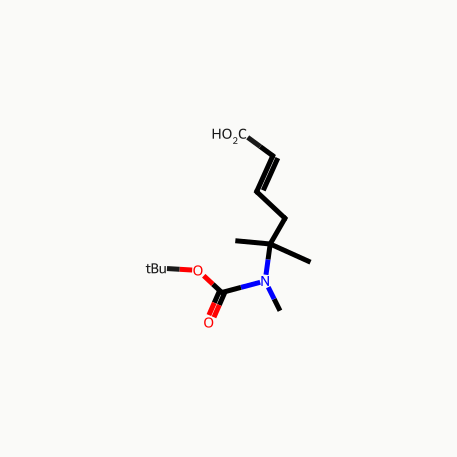 CN(C(=O)OC(C)(C)C)C(C)(C)CC=CC(=O)O